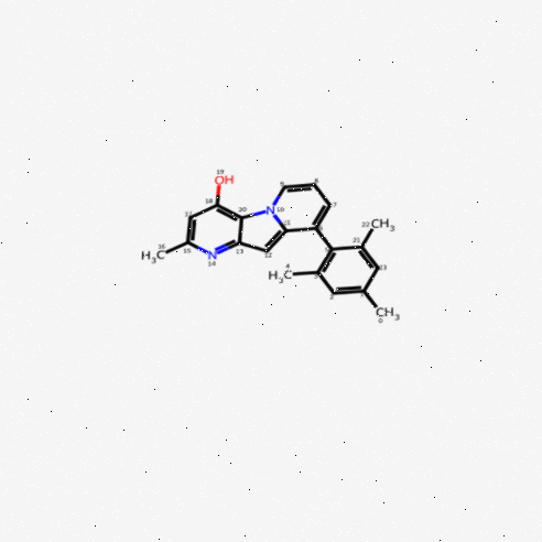 Cc1cc(C)c(-c2cccn3c2cc2nc(C)cc(O)c23)c(C)c1